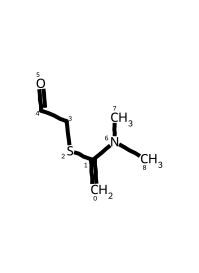 C=C(SCC=O)N(C)C